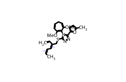 C=C/C(=C\C=C/C)CSc1nnc(-c2ccc(C)o2)n1C1=C(OC)C=CCC=C1OC